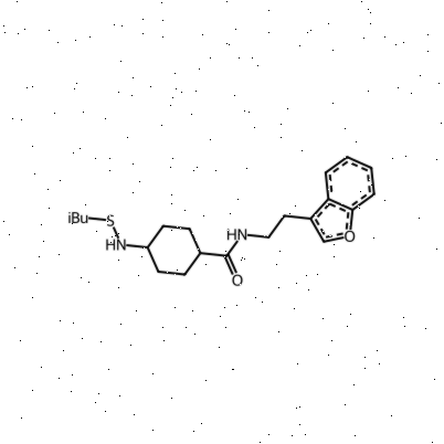 CCC(C)SNC1CCC(C(=O)NCCc2coc3ccccc23)CC1